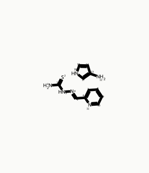 NC(=S)NN=Cc1ccccn1.Nc1cc[nH]c1